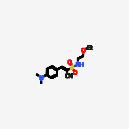 CCOCCNS(=O)(=O)/C(C#N)=C/c1ccc(N(C)C)cc1